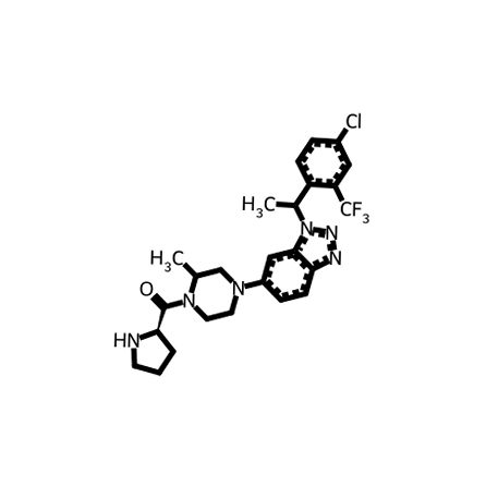 CC1CN(c2ccc3nnn(C(C)c4ccc(Cl)cc4C(F)(F)F)c3c2)CCN1C(=O)[C@H]1CCCN1